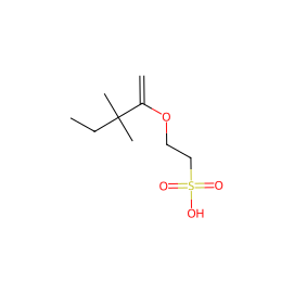 C=C(OCCS(=O)(=O)O)C(C)(C)CC